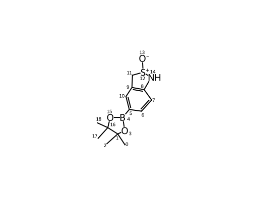 CC1(C)OB(c2ccc3c(c2)C[S+]([O-])N3)OC1(C)C